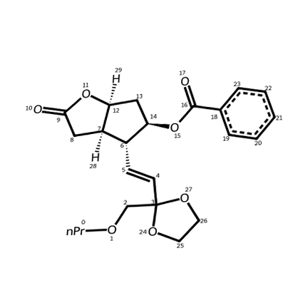 CCCOCC1(/C=C/[C@@H]2[C@H]3CC(=O)O[C@H]3C[C@H]2OC(=O)c2ccccc2)OCCO1